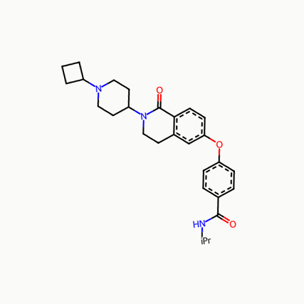 CC(C)NC(=O)c1ccc(Oc2ccc3c(c2)CCN(C2CCN(C4CCC4)CC2)C3=O)cc1